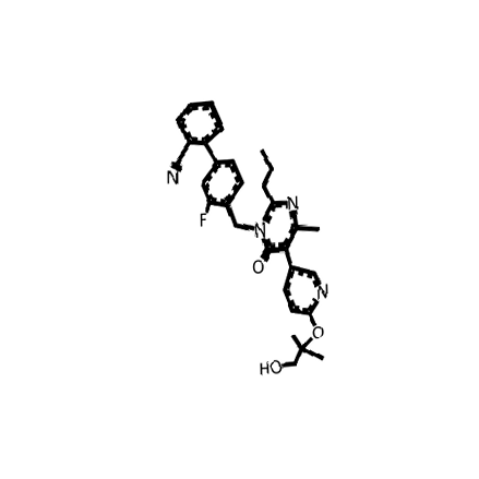 CCCc1nc(C)c(-c2ccc(OC(C)(C)CO)nc2)c(=O)n1Cc1ccc(-c2ccccc2C#N)cc1F